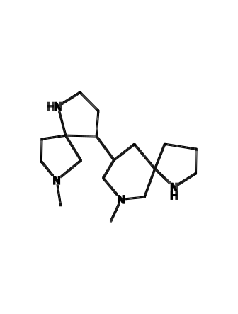 CN1CC(C2CCNC23CCN(C)C3)CC2(CCCN2)C1